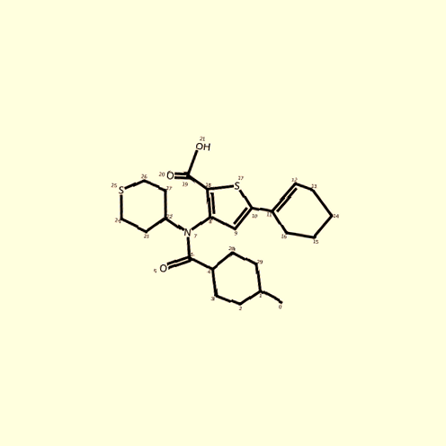 CC1CCC(C(=O)N(c2cc(C3=CCCCC3)sc2C(=O)O)C2CCSCC2)CC1